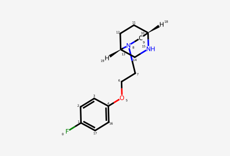 Fc1ccc(OCCN2C[C@@H]3CC[C@H]2CN3)cc1